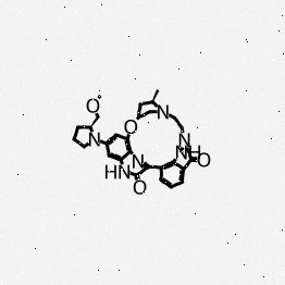 COC[C@@H]1CCCN1c1cc2c3nc(c(=O)[nH]c3c1)-c1cccc3c(=O)n([nH]c13)CCN1CC(C[C@H]1C)O2